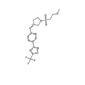 COCCS(=O)(=O)N1CC[C@H](Oc2ccc(-c3noc(C(F)(F)F)n3)cn2)C1